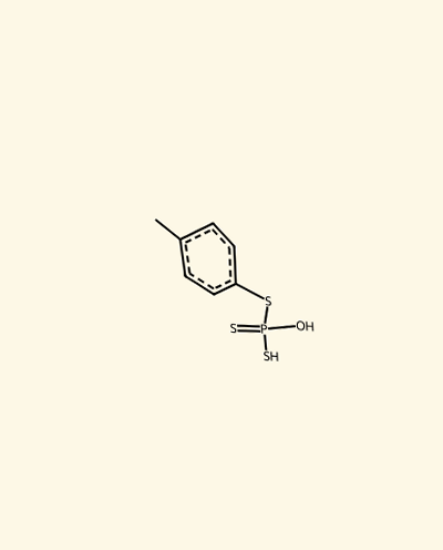 Cc1ccc(SP(O)(=S)S)cc1